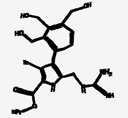 CCCOC(=O)c1[nH]c(CNC(=N)N)c(-c2ccc(CO)c(CO)c2CO)c1Br